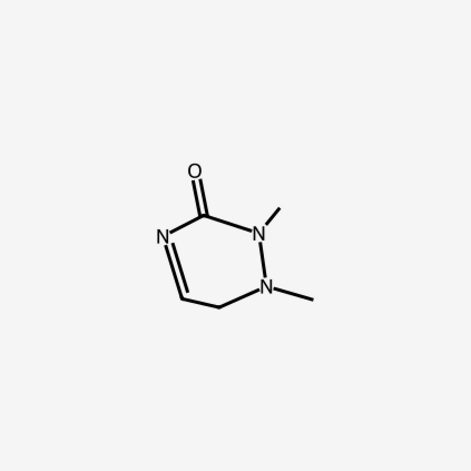 CN1CC=NC(=O)N1C